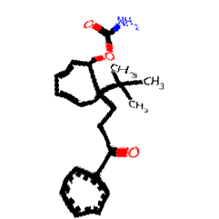 CC(C)(C)C1(CCC(=O)c2ccccc2)C=CC=CC1OC(N)=O